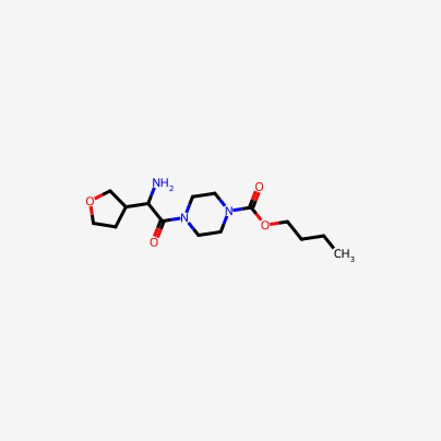 CCCCOC(=O)N1CCN(C(=O)C(N)C2CCOC2)CC1